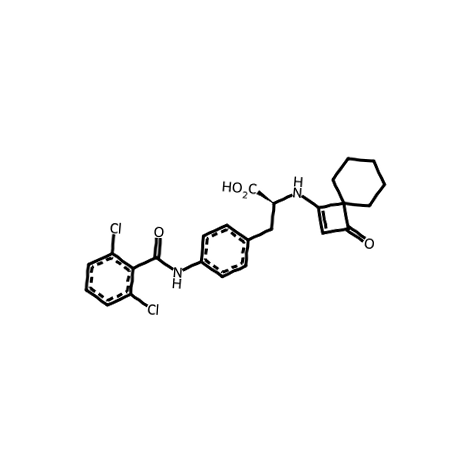 O=C(Nc1ccc(C[C@H](NC2=CC(=O)C23CCCCC3)C(=O)O)cc1)c1c(Cl)cccc1Cl